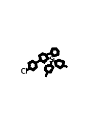 Cc1ccc([Si]2(c3ccc(C)cc3)c3ccccc3-c3ccc(-c4ccc(Cl)cc4)cc32)cc1